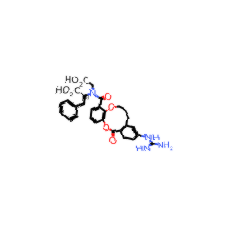 N=C(N)Nc1ccc2c(c1)CCCOc1c(cccc1C(=O)N(CC(=O)O)[C@@H](Cc1ccccc1)C(=O)O)OC2=O